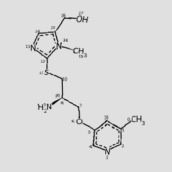 Cc1cncc(OC[C@@H](N)CSc2ncc(CO)n2C)c1